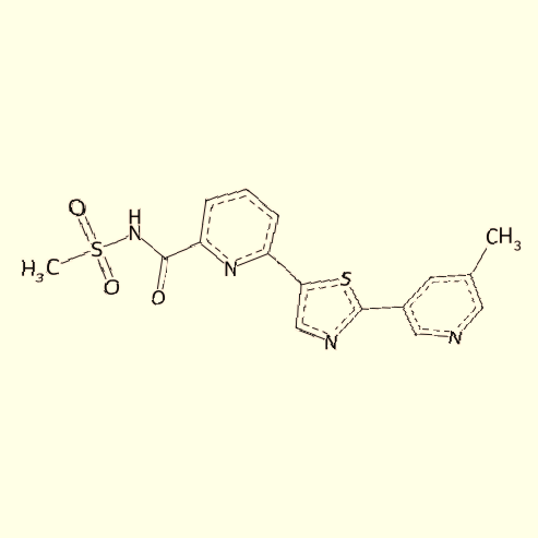 Cc1cncc(-c2ncc(-c3cccc(C(=O)NS(C)(=O)=O)n3)s2)c1